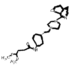 COC(CCC(=O)N[C@H]1CC[C@H](CCN2CCN(c3nccc4c3OCC4)CC2)CC1)OC